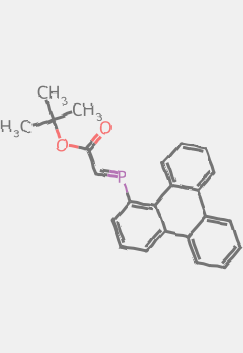 CC(C)(C)OC(=O)C=Pc1cccc2c3ccccc3c3ccccc3c12